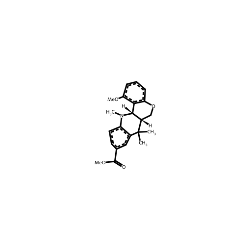 COC(=O)c1ccc2c(c1)C(C)(C)[C@H]1COc3cccc(OC)c3[C@H]1N2C